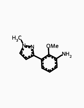 COc1c(N)cccc1-c1ccn(C)n1